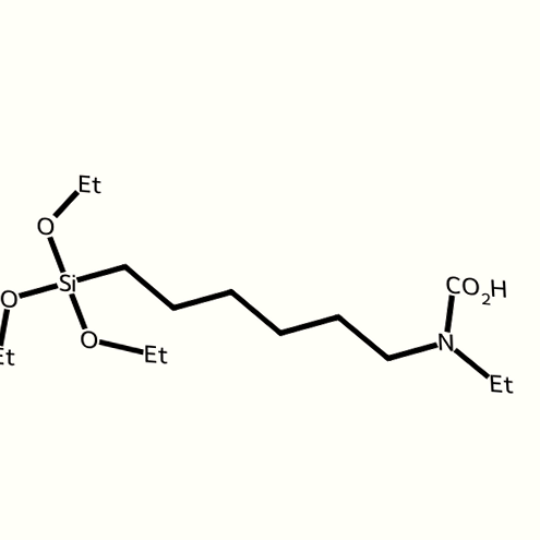 CCO[Si](CCCCCCN(CC)C(=O)O)(OCC)OCC